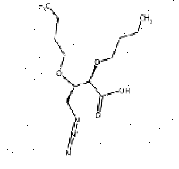 CCCCO[C@H](CN=[N+]=[N-])[C@@H](OCCCC)C(=O)O